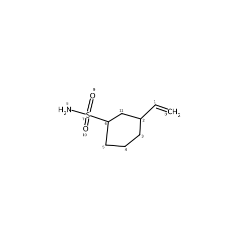 C=CC1CCCC(S(N)(=O)=O)C1